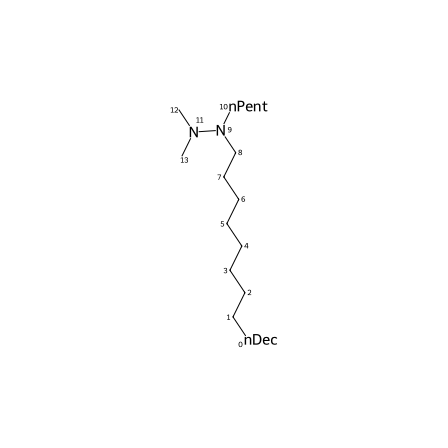 CCCCCCCCCCCCCCCCCCN(CCCCC)N(C)C